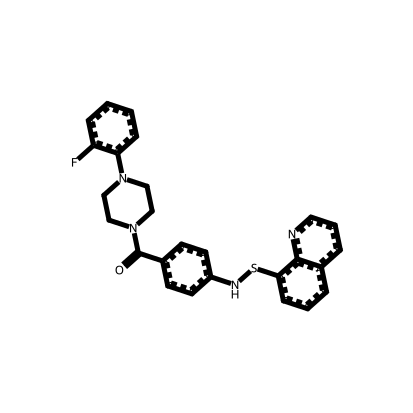 O=C(c1ccc(NSc2cccc3cccnc23)cc1)N1CCN(c2ccccc2F)CC1